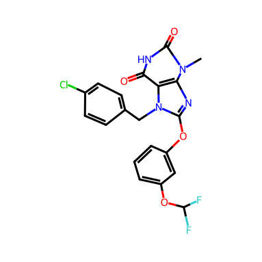 Cn1c(=O)[nH]c(=O)c2c1nc(Oc1cccc(OC(F)F)c1)n2Cc1ccc(Cl)cc1